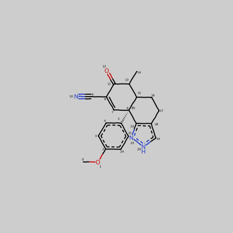 COc1ccc([C@]23C=C(C#N)C(=O)C(C)C2CCc2c[nH]nc23)cc1